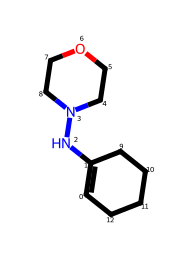 C1=C(NN2CCOCC2)CCCC1